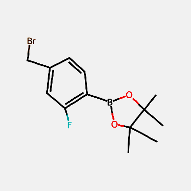 CC1(C)OB(c2ccc(CBr)cc2F)OC1(C)C